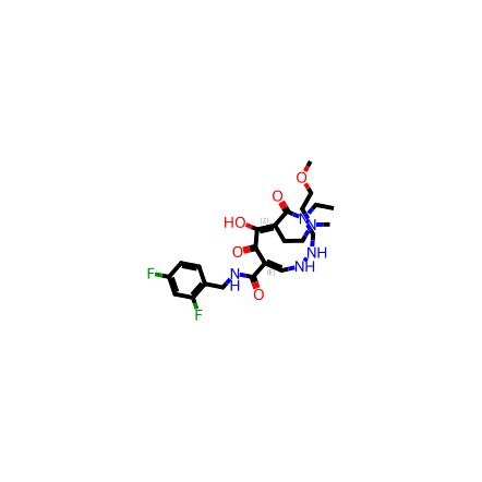 CCN1CNN/C=C(/C(=O)NCc2ccc(F)cc2F)C(=O)/C(O)=C(\CCN(C)CCOC)C1=O